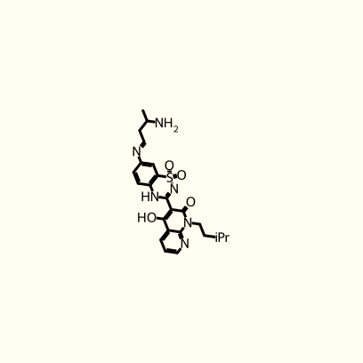 CC(C)CCn1c(=O)c(C2=NS(=O)(=O)c3cc(N=CCC(C)N)ccc3N2)c(O)c2cccnc21